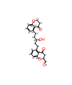 O=CC1CC(=O)c2c(CCC(O)CCc3cccc4c3C(=O)CCO4)cccc2O1